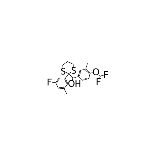 Cc1cc(F)cc(C2(C(O)c3ccc(OC(F)F)c(C)c3)SCCCS2)c1